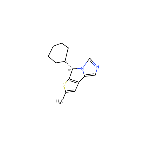 Cc1cc2c(s1)[C@H](C1CCCCC1)n1cncc1-2